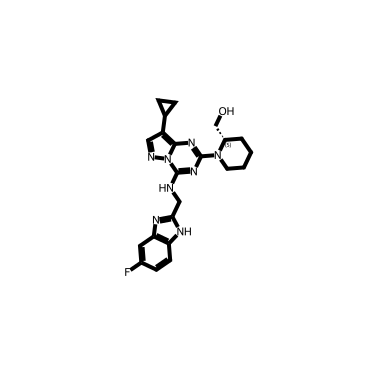 OC[C@@H]1CCCCN1c1nc(NCc2nc3cc(F)ccc3[nH]2)n2ncc(C3CC3)c2n1